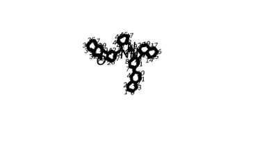 c1ccc2cc(-c3ccc4c(c3)c3c5ccccc5ccc3n4-c3nc(-c4ccc5oc6cc7ccccc7cc6c5c4)c4ccccc4n3)ccc2c1